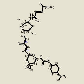 CC(=O)OC(C)C=CC(=O)N[C@@H]1C[C@H](C)[C@H](C/C=C(C)/C=C/[C@@H]2C[C@]3(CO3)C[C@@H](CC(=O)NC3CCC(N(C)C)CC3)O2)O[C@@H]1C